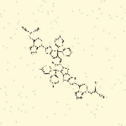 Cc1ccc(C2(c3ccc(C)cc3)c3cc4c(cc3-c3sc(-c5ccc(C=C(C#N)C#N)c6nsnc56)cc32)C(c2ccc(C)cc2)(c2ccc(C)cc2)c2c-4sc3c2sc2cc(-c4ccc(C=C(C#N)C#N)c5nsnc45)sc23)cc1